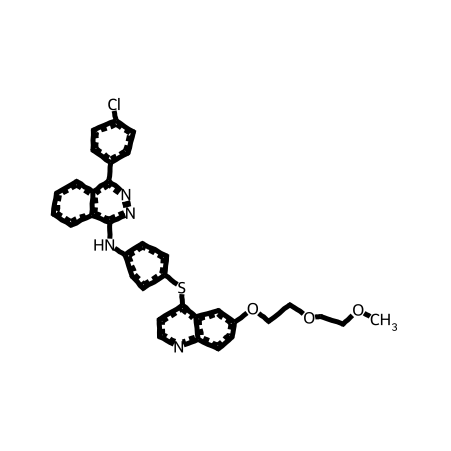 COCCOCCOc1ccc2nccc(Sc3ccc(Nc4nnc(-c5ccc(Cl)cc5)c5ccccc45)cc3)c2c1